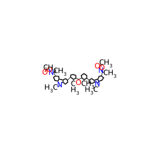 CCn1c2ccc(C(C)=NOC(C)=O)cc2c2cc(-c3cccc(C(=O)c4cccc(-c5ccc6c(c5)c5cc(C(C)=NOC(C)=O)ccc5n6CC)c4C)c3C)ccc21